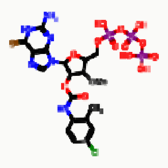 COC1C(COP(=O)(O)OP(=O)(O)OP(=O)(O)O)OC(n2cnc3c(=S)[nH]c(N)nc32)C1OC(=O)Nc1ccc(Cl)cc1C